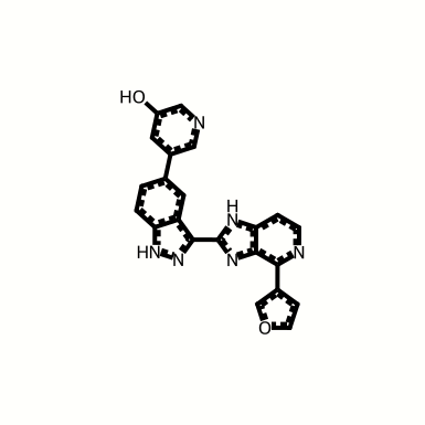 Oc1cncc(-c2ccc3[nH]nc(-c4nc5c(-c6ccoc6)nccc5[nH]4)c3c2)c1